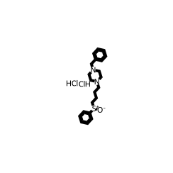 Cl.Cl.[O-][S+](CCCCN1CCN(Cc2ccccc2)CC1)c1ccccc1